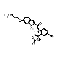 CCCCOc1ccc2cc(C(=O)Nc3ccc(C#N)cc3-c3noc(=O)[nH]3)n(C)c2c1